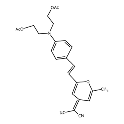 CC(=O)OCCN(CCOC(C)=O)c1ccc(C=CC2=CC(=C(C#N)C#N)C=C(C)O2)cc1